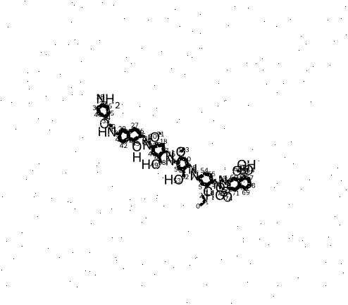 CCCOc1cc(N=Nc2cc(OC)c(N=Nc3cc(OC)c(N=Nc4ccc5cc(NCOc6ccc(N)cc6)ccc5c4O)cc3CO)cc2CO)ccc1N=Nc1cc2c(S(=O)(=O)O)cccc2cc1S(=O)(=O)O